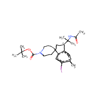 CC(=O)NC(C)(C)[C@@H]1CC2(CCN(C(=O)OC(C)(C)C)CC2)c2cc(I)c(C)cc21